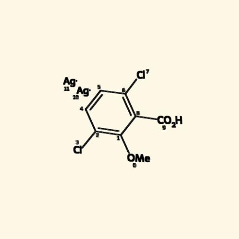 COc1c(Cl)ccc(Cl)c1C(=O)O.[Ag].[Ag]